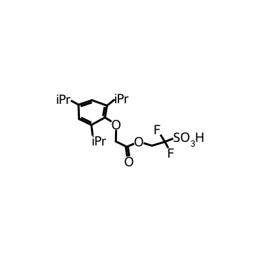 CC(C)c1cc(C(C)C)c(OCC(=O)OCC(F)(F)S(=O)(=O)O)c(C(C)C)c1